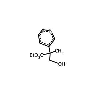 CCOC(=O)C(C)(CO)c1cccnc1